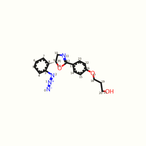 [N-]=[N+]=Nc1ccccc1[C@@H]1CN=C(c2ccc(OCCCO)cc2)O1